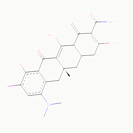 C=C1C(C(N)=O)=C(O)CC2C[C@@H]3Cc4c(N(C)C)cc(I)c(O)c4C(=O)C3=C(O)C12